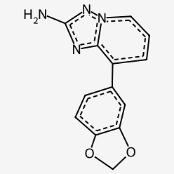 Nc1nc2c(-c3ccc4c(c3)OCO4)cccn2n1